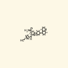 C#Cc1nc(NC(=O)N[C@@H](COC(N)=O)c2ccc(-c3cccc4ncccc34)cc2)cs1